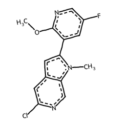 COc1ncc(F)cc1-c1cc2cc(Cl)ncc2n1C